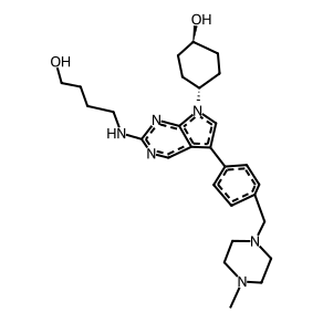 CN1CCN(Cc2ccc(-c3cn([C@H]4CC[C@H](O)CC4)c4nc(NCCCCO)ncc34)cc2)CC1